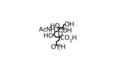 CPC(=O)CCC1(C(=O)O)CC(O)C(NC(C)=O)C([C@H](O)[C@H](O)CO)O1